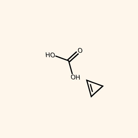 C1=CC1.O=C(O)O